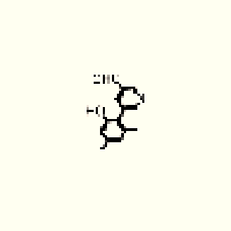 Cc1cc(F)cc(O)c1-c1cncc(C=O)c1